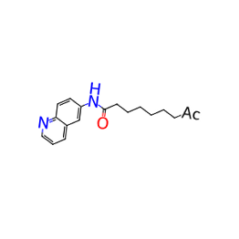 CC(=O)CCCCCCC(=O)Nc1ccc2ncccc2c1